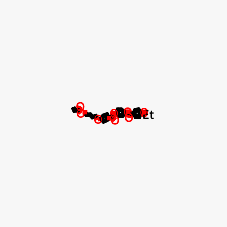 C=CC(=O)OCCCCCOc1ccc(C(=O)OC2=CC=C(OC(=O)c3ccc(OCC)cc3)CC2)cc1